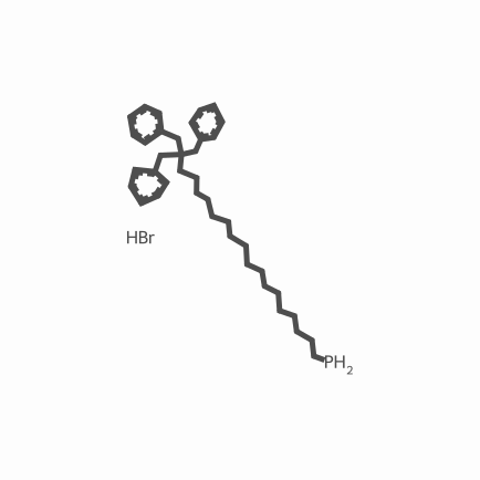 Br.PCCCCCCCCCCCCCCCCCC(Cc1ccccc1)(Cc1ccccc1)Cc1ccccc1